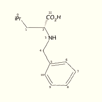 CC(C)C[C@@H](NCc1ccccc1)C(=O)O